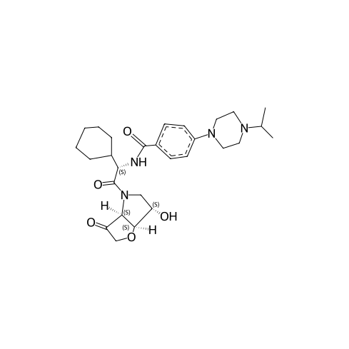 CC(C)N1CCN(c2ccc(C(=O)N[C@H](C(=O)N3C[C@H](O)[C@H]4OCC(=O)[C@H]43)C3CCCCC3)cc2)CC1